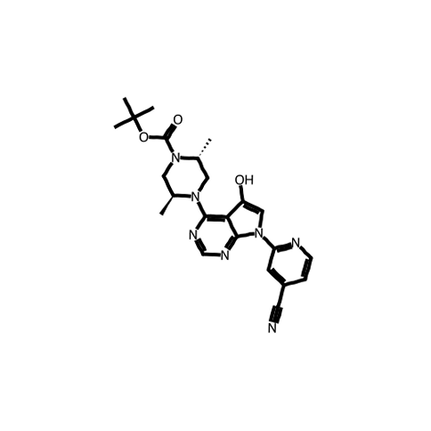 C[C@@H]1CN(c2ncnc3c2c(O)cn3-c2cc(C#N)ccn2)[C@@H](C)CN1C(=O)OC(C)(C)C